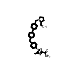 Cc1nc(C(N)=O)nn1-c1ccc(Cc2ccc(-c3ccc(CN4CCCC4CO)cc3)cc2)cc1